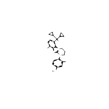 COc1ccc(N2CCCn3c2nc2c(Cl)ccc(C(C)(C4CC4)C4CC4)c23)c(Cl)c1